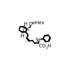 CCCCCCOC[C@H]1C(C/C=C\CC[C@@H]([Se]c2ccccc2)C(=O)O)[C@H]2CC[C@@H]1O2